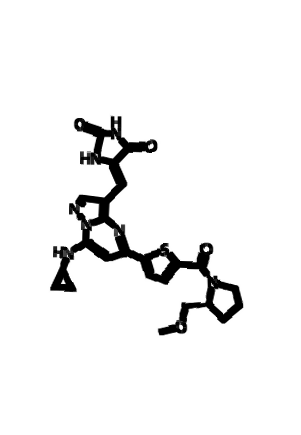 COC[C@@H]1CCCN1C(=O)c1ccc(-c2cc(NC3CC3)n3ncc(/C=C4\NC(=O)NC4=O)c3n2)s1